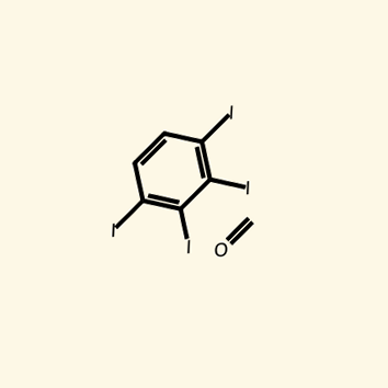 C=O.Ic1ccc(I)c(I)c1I